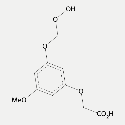 COc1cc(OCOO)cc(OCC(=O)O)c1